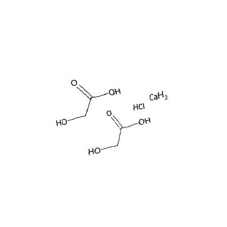 Cl.O=C(O)CO.O=C(O)CO.[CaH2]